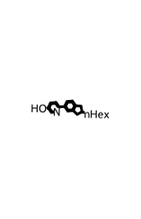 CCCCCCC1Cc2ccc(-c3ccc(O)cn3)cc2C1